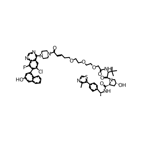 Cc1ncsc1-c1ccc([C@H](C)NC(=O)[C@@H]2C[C@@H](O)CN2C(=O)[C@@H](NC(=O)COCCOCCOCC/C=C/C(=O)N2CCN(c3ncnc4c(F)c(-c5cc(O)cc6ccccc56)c(Cl)cc34)CC2)C(C)(C)C)cc1